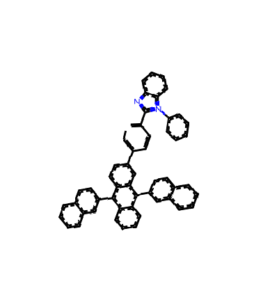 C=C(/C=C\C(=C/C)c1ccc2c(-c3ccc4ccccc4c3)c3ccccc3c(-c3ccc4ccccc4c3)c2c1)c1nc2ccccc2n1-c1ccccc1